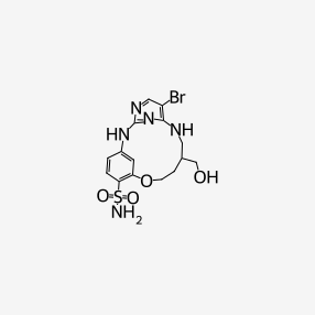 NS(=O)(=O)c1ccc2cc1OCCC(CO)CNc1nc(ncc1Br)N2